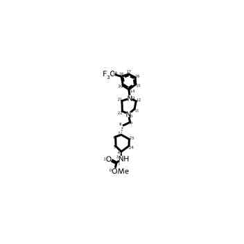 COC(=O)N[C@H]1CC[C@H](CCN2CCN(c3cccc(C(F)(F)F)c3)CC2)CC1